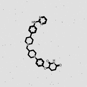 O=C1CCC(Oc2ccc(N3CCC(CN4CCC(c5ccc(Nc6ncccn6)cc5)CC4)CC3)cc2)C(=O)N1